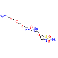 NCCCOCCOCCOCCCNC(=O)Cn1cc(COc2ccc3nc(S(N)(=O)=O)sc3c2)nn1